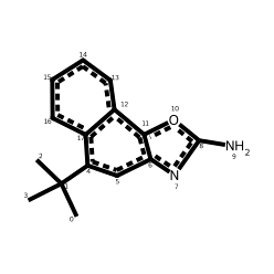 CC(C)(C)c1cc2nc(N)oc2c2ccccc12